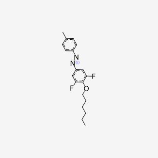 CCCCCCOc1c(F)cc(/N=N/c2ccc(C)cc2)cc1F